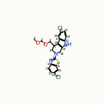 COCOCC1CN(c2nc3ccc(Cl)cc3s2)Cc2[nH]c3ccc(Cl)cc3c21